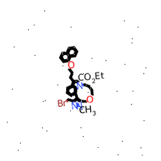 CCOC(=O)c1c(CCCOc2cccc3ccccc23)c2cccc3c2n1CCCCOCc1c-3c(CBr)nn1C